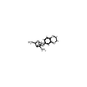 NC1=NN2C(N)C1N2Nc1ccc2c(c1)OCCO2